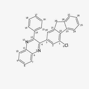 Clc1cc(-c2nc3ccccc3nc2-c2ccccc2)cc2c1-c1ccccc1C2